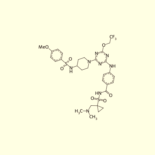 COc1ccc(S(=O)(=O)NC2CCN(c3nc(Nc4ccc(C(=O)NS(=O)(=O)C5(CN(C)C)CC5)cc4)nc(OCC(F)(F)F)n3)CC2)cc1